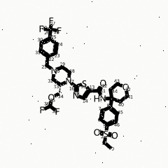 CCS(=O)(=O)c1ccc(C2(NC(=O)c3cnc(N4CCN(Cc5ccc(C(F)(F)F)cc5)C[C@H]4COC(F)F)s3)CCOCC2)cc1